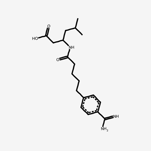 CC(C)CC(CC(=O)O)NC(=O)CCCCc1ccc(C(=N)N)cc1